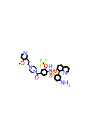 COc1ccncc1CCN1CCN(C(=O)c2ccc(NS(=O)(=O)c3ccc(N)cc3-c3cccc4cccnc34)c(OC(F)(F)F)c2)CC1